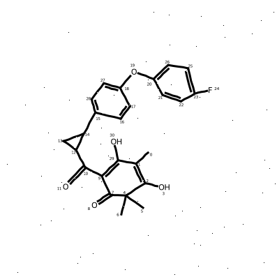 CC1=C(O)C(C)(C)C(=O)C(C(=O)C2CC2c2ccc(Oc3ccc(F)cc3)cc2)=C1O